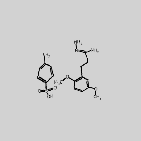 COc1ccc(OC)c(CCC(N)=NN)c1.Cc1ccc(S(=O)(=O)O)cc1